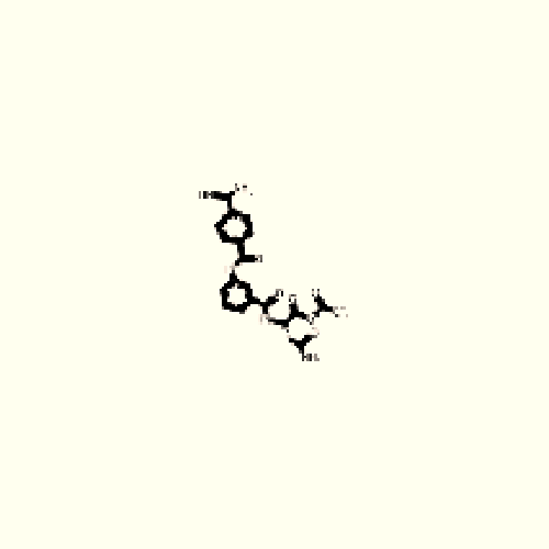 N=C(N)c1ccc(C(=O)Nc2cccc(C(=O)N[C@@H](CC(N)=O)C(=O)OC(=O)C(F)(F)F)c2)cc1